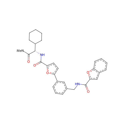 CNC(=O)[C@@H](NC(=O)c1ccc(-c2cccc(CNC(=O)c3cc4ccccc4o3)c2)o1)C1CCCCC1